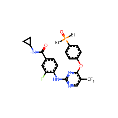 CCP(=O)(CC)c1ccc(Oc2nc(Nc3ccc(C(=O)NC4CC4)cc3F)ncc2C(F)(F)F)cc1